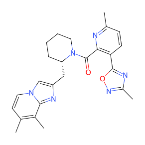 Cc1ccc(-c2nc(C)no2)c(C(=O)N2CCCC[C@H]2Cc2cn3ccc(C)c(C)c3n2)n1